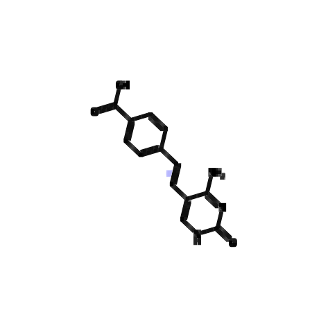 Nc1nc(=O)[nH]cc1/C=C/c1ccc(C(=O)O)cc1